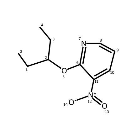 CCC(CC)Oc1ncccc1[N+](=O)[O-]